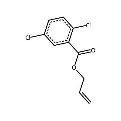 C=CCOC(=O)c1cc(Cl)ccc1Cl